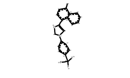 Cc1ccc(C2=CN(c3ccc(C(F)(F)F)cc3)CO2)c2ccccc12